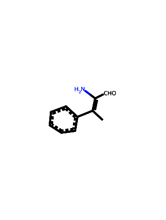 CC(=C(N)C=O)c1ccccc1